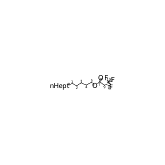 CCCCCCCCCCCCOC(=O)CS(F)(F)F